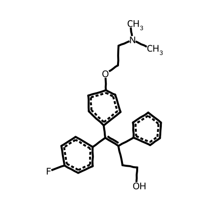 CN(C)CCOc1ccc(C(=C(CCO)c2ccccc2)c2ccc(F)cc2)cc1